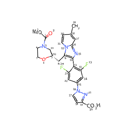 COC(=O)N1CCO[C@@H](Cc2c(-c3c(F)cc(-n4ccc(C(=O)O)n4)cc3F)nc3cc(C)ccn23)C1